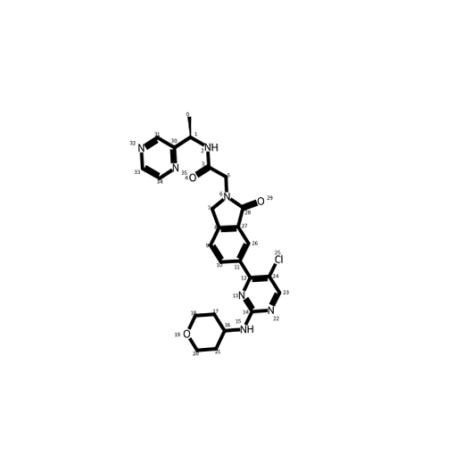 C[C@@H](NC(=O)CN1Cc2ccc(-c3nc(NC4CCOCC4)ncc3Cl)cc2C1=O)c1cnccn1